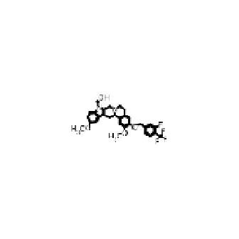 COc1ccc2c(c1)c1c(n2CO)CN2CCc3cc(OCc4ccc(C(F)(F)F)c(F)c4)c(OC)cc3C2C1